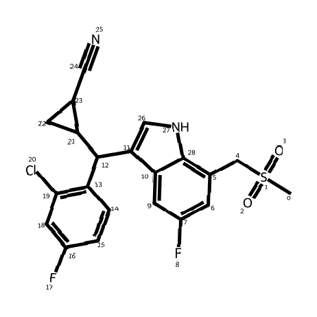 CS(=O)(=O)Cc1cc(F)cc2c(C(c3ccc(F)cc3Cl)C3CC3C#N)c[nH]c12